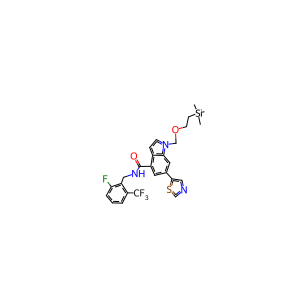 C[Si](C)(C)CCOCn1ccc2c(C(=O)NCc3c(F)cccc3C(F)(F)F)cc(-c3cncs3)cc21